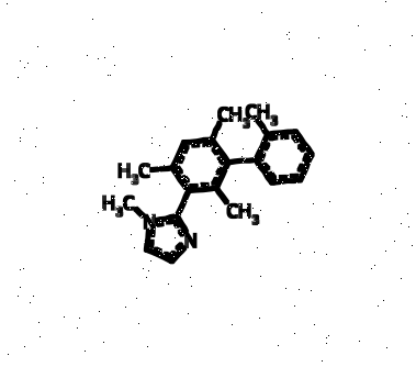 Cc1ccccc1-c1c(C)cc(C)c(-c2nccn2C)c1C